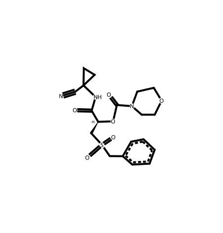 N#CC1(NC(=O)[C@H](CS(=O)(=O)Cc2ccccc2)OC(=O)N2CCOCC2)CC1